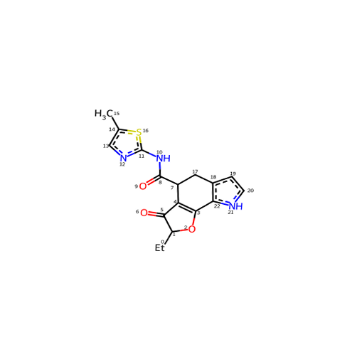 CCC1OC2=C(C1=O)C(C(=O)Nc1ncc(C)s1)Cc1cc[nH]c12